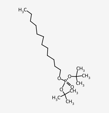 CCCCCCCCCCCCOP(=O)(OC(C)(C)C)OC(C)(C)C